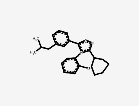 Cc1ccccc1-n1c(-c2cccc(CC(C)C)c2)nnc1C1CCCCC1